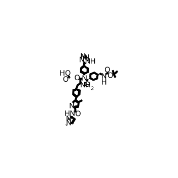 Cc1cc(C(=O)Nc2ccn(C)n2)ncc1-c1ccc(C[C@H](N)C(=O)N(c2ccc(-c3nnn[nH]3)cc2)C(=O)[C@H]2CC[C@H](CNC(=O)OC(C)(C)C)CC2)cc1.O=CO